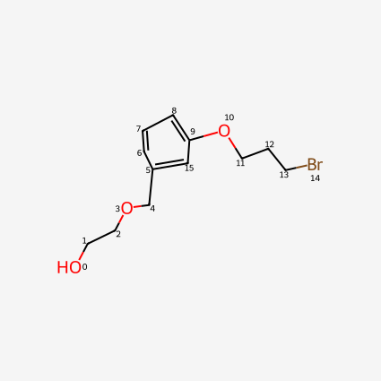 OCCOCc1cccc(OCCCBr)c1